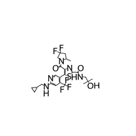 CC1CC(F)(F)CN1C(=O)c1nc(C(=O)NCC(C)(C)O)sc1-c1cnc(NCC2CC2)cc1C(F)(F)F